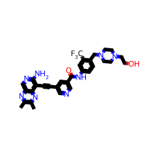 Cc1nc2cnc(N)c(C#Cc3cncc(C(=O)Nc4ccc(CN5CCN(CCO)CC5)c(C(F)(F)F)c4)c3)c2nc1C